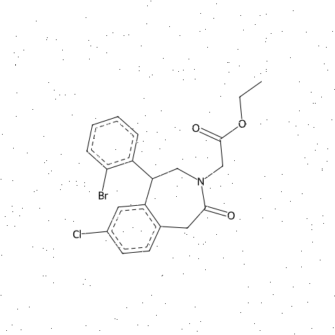 CCOC(=O)CN1CC(c2ccccc2Br)c2cc(Cl)ccc2CC1=O